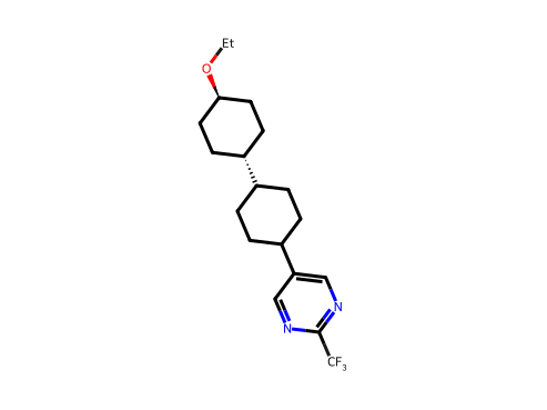 CCO[C@H]1CC[C@H](C2CCC(c3cnc(C(F)(F)F)nc3)CC2)CC1